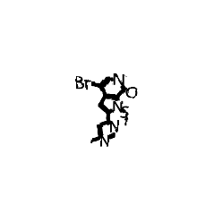 Cc1cc(-c2cc3c(Br)cn(C)c(=O)c3n2SI)ncn1